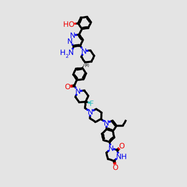 CCc1cn(C2CCN(CC3(F)CCN(C(=O)c4ccc([C@H]5CCCN(c6cc(-c7ccccc7O)nnc6N)C5)cc4)CC3)CC2)c2ccc(N3CCC(=O)NC3=O)cc12